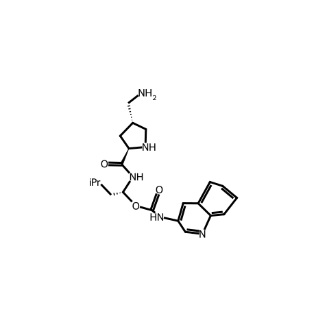 CC(C)C[C@H](NC(=O)[C@H]1C[C@H](CN)CN1)OC(=O)Nc1cnc2ccccc2c1